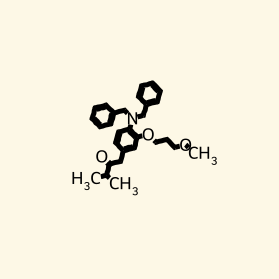 COCCCOc1cc(CC(=O)C(C)C)ccc1N(Cc1ccccc1)Cc1ccccc1